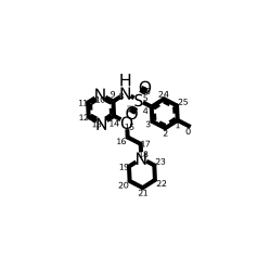 Cc1ccc(S(=O)(=O)Nc2nccnc2OCCN2CCCCC2)cc1